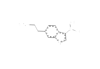 CC(=O)NCCc1ccc2c(B(O)O)c[nH]c2c1